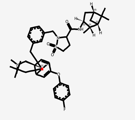 C[C@@H]1[C@@H](NC(=O)C2CCS(=O)(=O)N2Cc2cccc(CN3CC4=CCC(C=C4Oc4ccc(F)cc4)[C@]3(CN(C)C)CC(C)(C)C)c2)C[C@H]2C[C@@H]1C2(C)C